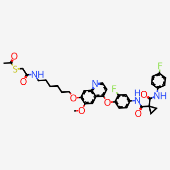 COc1cc2c(Oc3ccc(NC(=O)C4(C(=O)Nc5ccc(F)cc5)CC4)cc3F)ccnc2cc1OCCCCCCNC(=O)CSC(C)=O